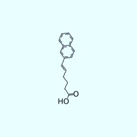 O=C(O)CCC/C=C/c1ccc2ccccc2c1